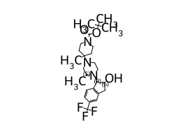 C[C@H]1CN(C2(C)CCN(C(=O)OC(C)(C)C)CC2)CCN1[C@@H]1c2ccc(C(F)(F)F)cc2C[C@@H]1O